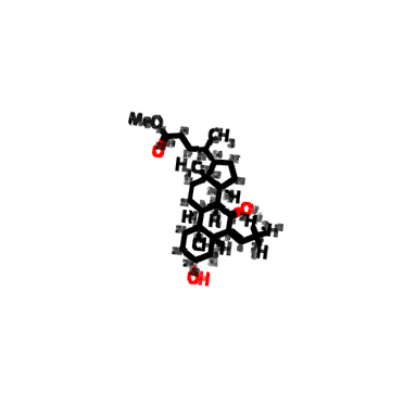 [2H]C([2H])([2H])C=C1C(=O)[C@@H]2[C@H](CC[C@]3(C)[C@@H](C(C)CCC(=O)OC)CC[C@@H]23)[C@@]2(C)CC[C@@H](O)C[C@@H]12